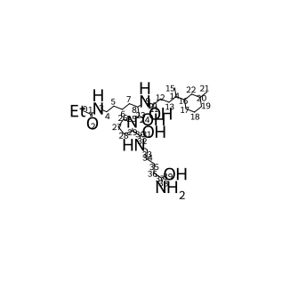 CCC(=O)NCCCCC(NC(O)CCC(C)C1CCCC(C)C1)C(O)N1CCCC1C(O)NCCCCC(N)O